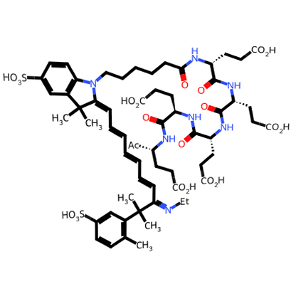 CC\N=C(/C=C/C=C/C=C/C=C1/N(CCCCCC(=O)N[C@H](CCC(=O)O)C(=O)N[C@H](CCC(=O)O)C(=O)N[C@H](CCC(=O)O)C(=O)N[C@H](CCC(=O)O)C(=O)N[C@H](CCC(=O)O)C(C)=O)c2ccc(S(=O)(=O)O)cc2C1(C)C)C(C)(C)c1cc(S(=O)(=O)O)ccc1C